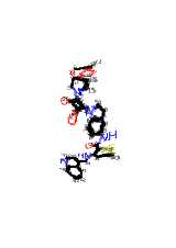 O=C(Nc1ccc2c(c1)CCN2c1c(N2CCC3(CC2)OCCO3)c(=O)c1=O)c1sccc1NCc1ccnc2ccccc12